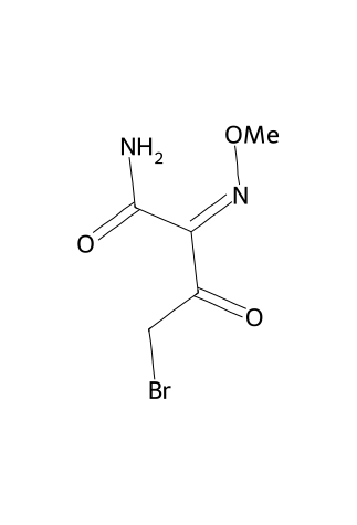 CO/N=C(\C(N)=O)C(=O)CBr